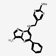 CSc1ncc(CNc2cc(-c3ccccc3)nc3c(C)cnn23)cn1